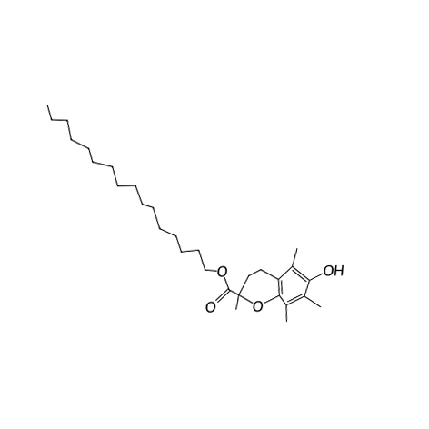 CCCCCCCCCCCCCCCCOC(=O)C1(C)CCc2c(C)c(O)c(C)c(C)c2O1